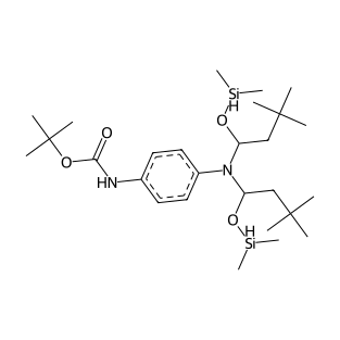 C[SiH](C)OC(CC(C)(C)C)N(c1ccc(NC(=O)OC(C)(C)C)cc1)C(CC(C)(C)C)O[SiH](C)C